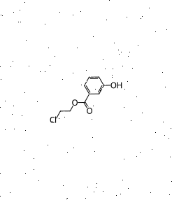 O=C(OCCCl)c1cccc(O)c1